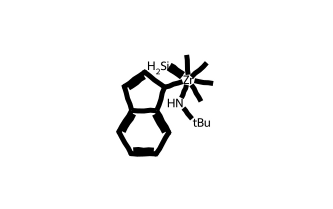 CC(C)(C)[NH][Zr]([CH3])([CH3])([CH3])([CH3])(=[SiH2])[CH]1C=Cc2ccccc21